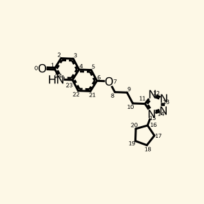 O=c1ccc2cc(OCCCc3nnnn3C3CCCC3)ccc2[nH]1